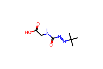 CC(C)(C)N=NC(=O)NCC(=O)O